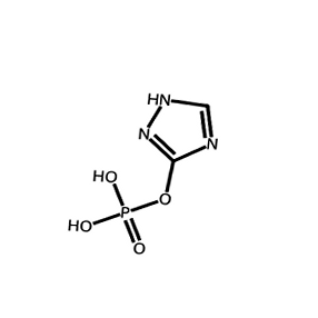 O=P(O)(O)Oc1nc[nH]n1